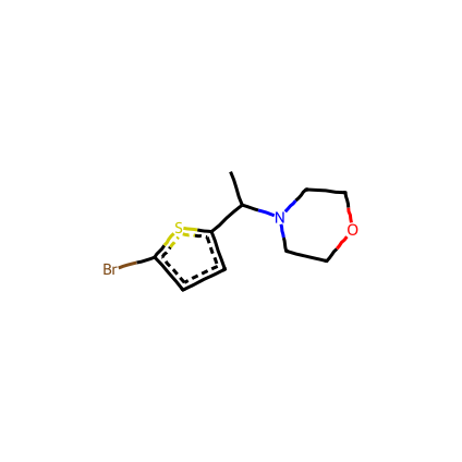 CC(c1ccc(Br)s1)N1CCOCC1